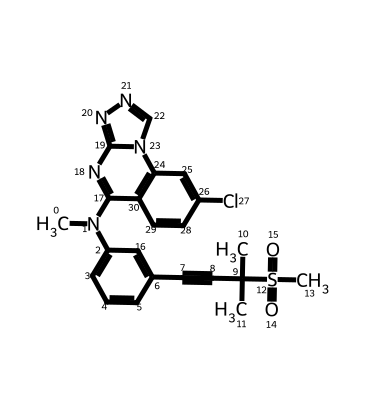 CN(c1cccc(C#CC(C)(C)S(C)(=O)=O)c1)c1nc2nncn2c2cc(Cl)ccc12